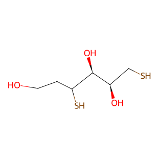 OCCC(S)[C@@H](O)[C@H](O)CS